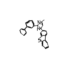 Cc1cc(-c2ccc3c(c2)sc2ccccc23)nc(-c2cccc(-c3ccccc3)c2)n1